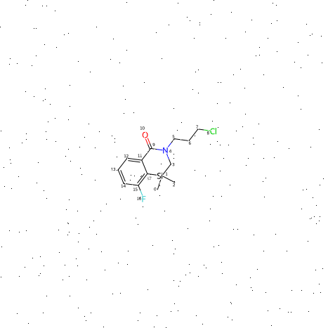 C[Si]1(C)CN(CCCCl)C(=O)c2cccc(F)c21